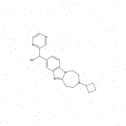 OC(c1ccc2c(c1)nc1n2CCN(C2CCC2)CC1)c1cnccn1